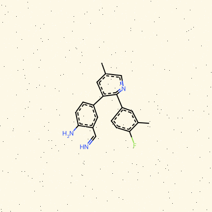 Cc1cnc(-c2ccc(F)c(C)c2)c(-c2ccc(N)c(C=N)c2)c1